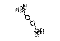 CCO[Si](CCc1ccc(-c2ccc(CC[Si](OCC)(OCC)OCC)cc2)cc1)(OCC)OCC